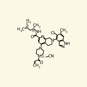 C=CC(=O)N1CCN(c2cc(C(=O)N[C@H](C)CN(C)C)nc3c2CCN(c2c(Cl)c(C)cc4[nH]ncc24)C3)C[C@@H]1CC#N